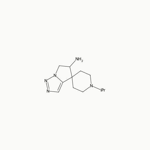 CC(C)N1CCC2(CC1)c1cnnn1CC2N